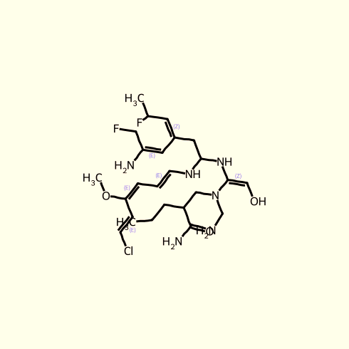 CCCC(CN(CN)/C(=C\O)NC(CC(=C/C(C)F)/C=C(/N)CF)N/C=C/C=C(\C=C\Cl)OC)C(N)=O